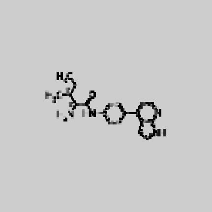 CC[C@H](C)[C@H](N)C(=O)Nc1ccc(-c2ccnc3[nH]ccc23)cc1